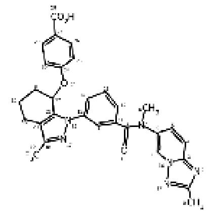 Cc1nc2ccc(N(C)C(=O)c3cccc(-n4nc(C(F)(F)F)c5c4C(Oc4ccc(C(=O)O)cc4)CCC5)c3)cn2n1